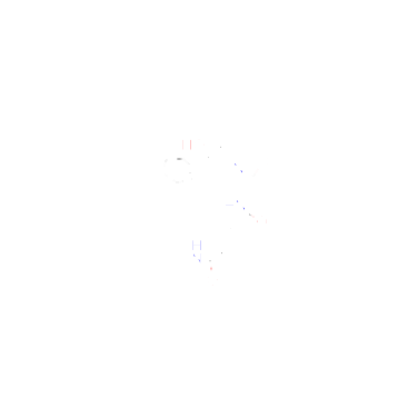 CNC(=O)C(C)(C)CCC(=O)NC(C(=O)N1CCC(O)(c2ccc(Cl)cc2)C(C)(C)C1)C(C)C